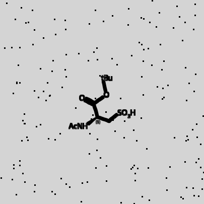 CC(=O)N[C@H](CS(=O)(=O)O)C(=O)OC(C)(C)C